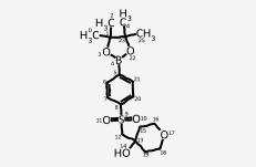 CC1(C)OB(c2ccc(S(=O)(=O)CC3(O)CCOCC3)cc2)OC1(C)C